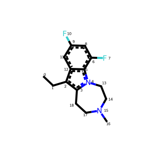 CCc1c2n(c3c(F)cc(F)cc13)CCN(C)CC2